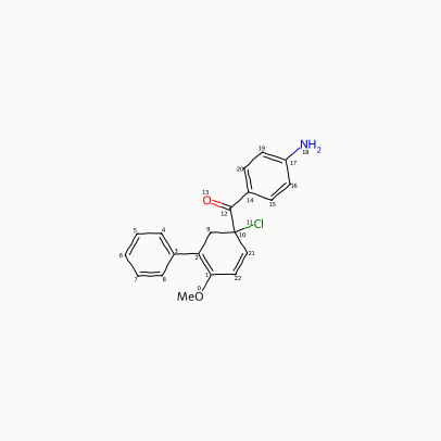 COC1=C(c2ccccc2)CC(Cl)(C(=O)c2ccc(N)cc2)C=C1